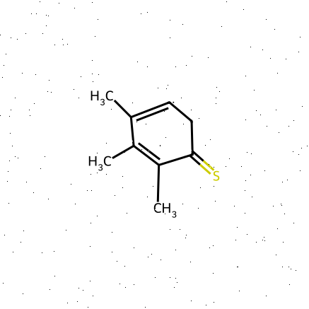 CC1=[C]CC(=S)C(C)=C1C